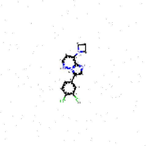 Clc1ccc(-c2[c]nc3c(N4CCC4)ccnn23)cc1Cl